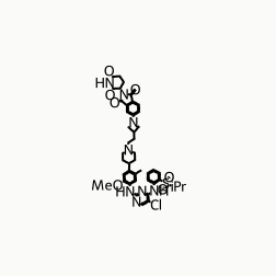 COc1cc(C2CCN(CCC3CN(c4ccc5c(c4)C(=O)N(C4CCC(=O)NC4=O)C5=O)C3)CC2)c(C)cc1Nc1ncc(Cl)c(Nc2ccccc2S(=O)(=O)C(C)C)n1